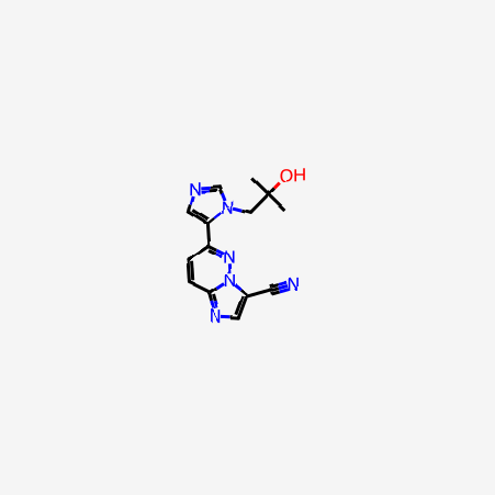 CC(C)(O)Cn1cncc1-c1ccc2ncc(C#N)n2n1